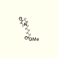 COC(=O)CCCCCN1CCC(=O)CC1